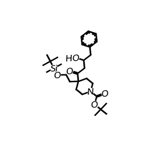 CC(C)(C)OC(=O)N1CCC(CCO[Si](C)(C)C(C)(C)C)(C(=O)CC(O)Cc2ccccc2)CC1